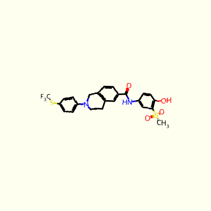 CS(=O)(=O)c1cc(NC(=O)c2ccc3c(c2)CCN(c2ccc(SC(F)(F)F)cc2)C3)ccc1O